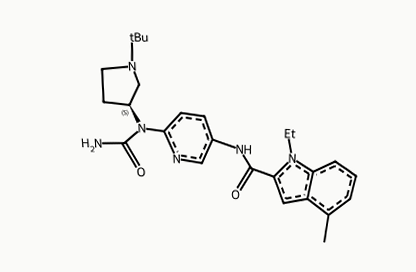 CCn1c(C(=O)Nc2ccc(N(C(N)=O)[C@H]3CCN(C(C)(C)C)C3)nc2)cc2c(C)cccc21